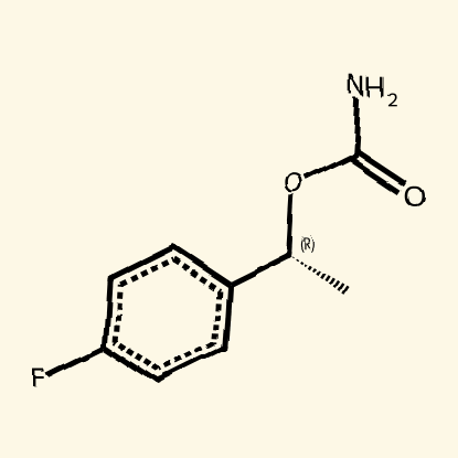 C[C@@H](OC(N)=O)c1ccc(F)cc1